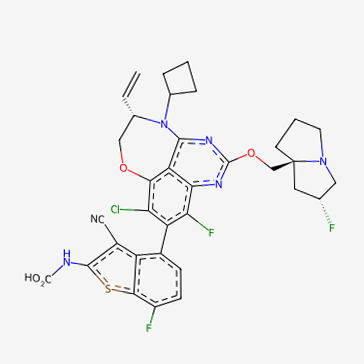 C=C[C@H]1COc2c(Cl)c(-c3ccc(F)c4sc(NC(=O)O)c(C#N)c34)c(F)c3nc(OC[C@@]45CCCN4C[C@H](F)C5)nc(c23)N1C1CCC1